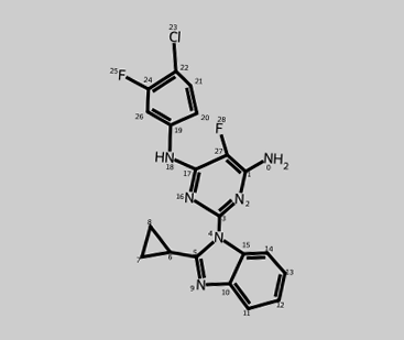 Nc1nc(-n2c(C3CC3)nc3ccccc32)nc(Nc2ccc(Cl)c(F)c2)c1F